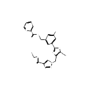 CCOC(=O)c1cnn(Cc2nc(-c3cc(C)cc(CNC(=O)c4ccccn4)c3)sc2C)c1